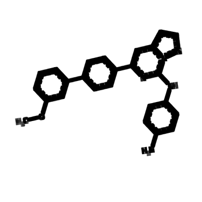 COc1cccc(-c2ccc(-c3cc4ccnn4c(Nc4ccc(N)cc4)n3)cc2)c1